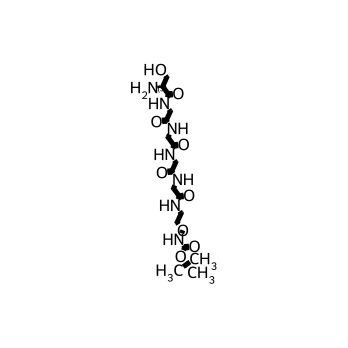 CC(C)(C)OC(=O)NOCCNC(=O)CNC(=O)CNC(=O)CNC(=O)CNC(=O)[C@@H](N)CO